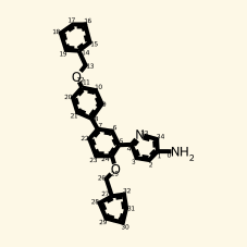 Nc1ccc(-c2cc(-c3ccc(OCc4ccccc4)cc3)ccc2OCc2ccccc2)nc1